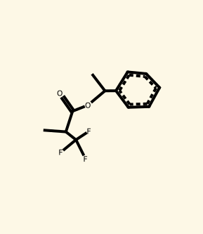 CC(OC(=O)C(C)C(F)(F)F)c1ccccc1